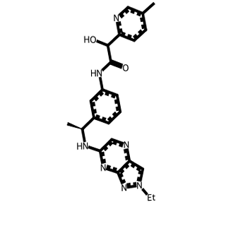 CCn1cc2ncc(N[C@@H](C)c3cccc(NC(=O)C(O)c4ccc(C)cn4)c3)nc2n1